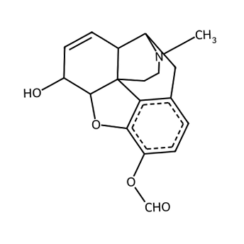 CN1CCC23c4c5ccc(OC=O)c4OC2C(O)C=CC3C1C5